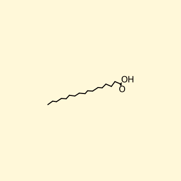 CCCCCCCCCCCCCCCCC(=O)O